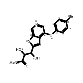 CNC(=O)C(O)C(O)c1cc2c(Oc3ccc(Br)cc3)cncc2s1